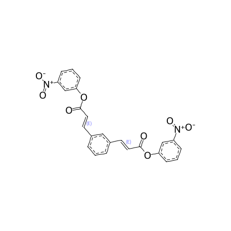 O=C(/C=C/c1cccc(/C=C/C(=O)Oc2cccc([N+](=O)[O-])c2)c1)Oc1cccc([N+](=O)[O-])c1